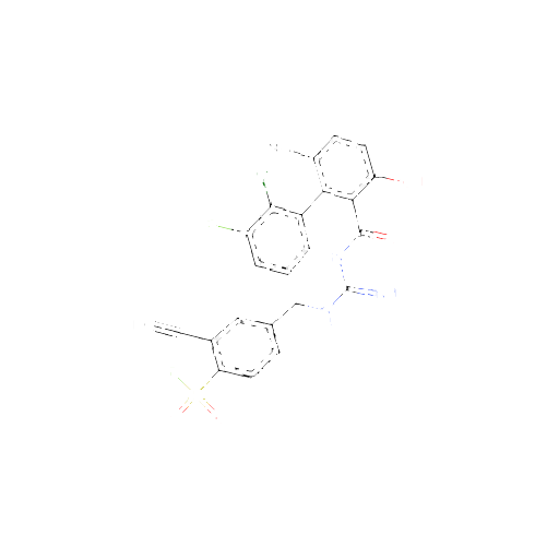 C#Cc1cc(CNC(=N)NC(=O)c2c(O)ccc(C#N)c2-c2cccc(F)c2Cl)ccc1S(=O)(=O)F